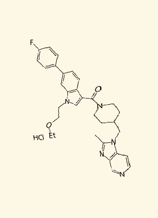 CCOCCn1cc(C(=O)N2CCC(Cn3c(C)nc4cnccc43)CC2)c2ccc(-c3ccc(F)cc3)cc21.Cl